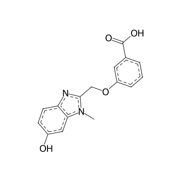 Cn1c(COc2cccc(C(=O)O)c2)nc2ccc(O)cc21